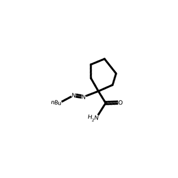 CCCCN=NC1(C(N)=O)CCCCC1